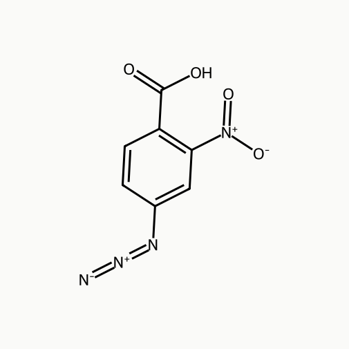 [N-]=[N+]=Nc1ccc(C(=O)O)c([N+](=O)[O-])c1